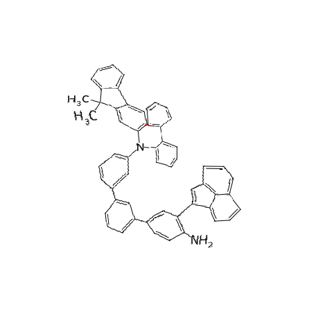 CC1(C)c2ccccc2-c2ccc(N(c3cccc(-c4cccc(-c5ccc(N)c(C6=Cc7cccc8cccc6c78)c5)c4)c3)c3ccccc3-c3ccccc3)cc21